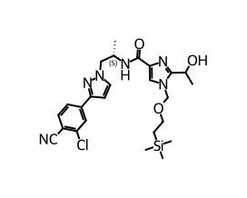 CC(O)c1nc(C(=O)N[C@@H](C)Cn2ccc(-c3ccc(C#N)c(Cl)c3)n2)cn1COCC[Si](C)(C)C